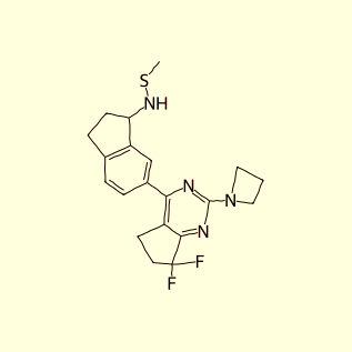 CSNC1CCc2ccc(-c3nc(N4CCC4)nc4c3CCC4(F)F)cc21